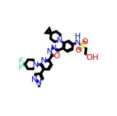 Cn1cc(-c2ccc(-c3nnc(-c4ccc(NS(=O)(=O)CCO)cc4N4CCC5(CC4)CC5)o3)nc2N2CCC(F)(F)CC2)cn1